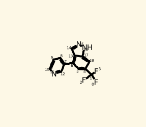 FC(F)(F)c1cc(-c2cccnc2)c2cn[nH]c2c1